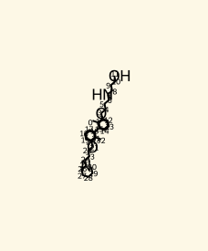 Cc1c(OCCCNCCCO)cccc1-c1cccc(OCCCN2CCCCC2)c1C